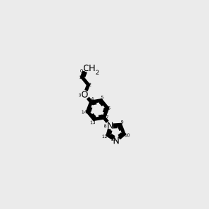 C=CCOc1ccc(-n2ccnc2)cc1